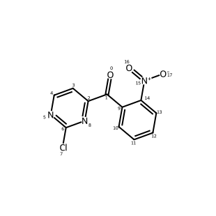 O=C(c1ccnc(Cl)n1)c1ccccc1[N+](=O)[O-]